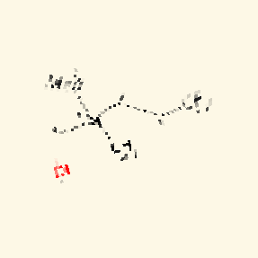 CO[Si](C)(CO)CCC(F)(F)F